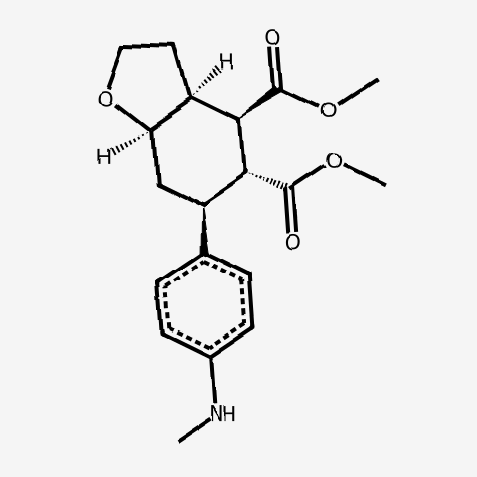 CNc1ccc([C@H]2C[C@H]3OCC[C@H]3[C@@H](C(=O)OC)[C@@H]2C(=O)OC)cc1